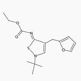 CCOC(=O)/N=c1\sn(C(C)(C)C)cc1Cc1ccco1